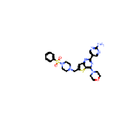 Nc1ncc(-c2nc(N3CCOCC3)c3sc(CN4CCN(S(=O)(=O)c5ccccc5)CC4)cc3n2)cn1